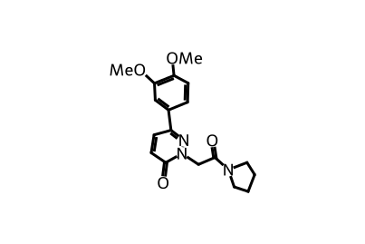 COc1ccc(-c2ccc(=O)n(CC(=O)N3CCCC3)n2)cc1OC